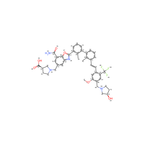 COc1cc(/C=C/c2cccc(-c3cccc(-c4nc5cc(CN6CC[C@@H](C(=O)O)C6)cc(C(N)=O)c5o4)c3C)c2C)c(C(F)(F)F)cc1CN1CC[C@@H](O)C1